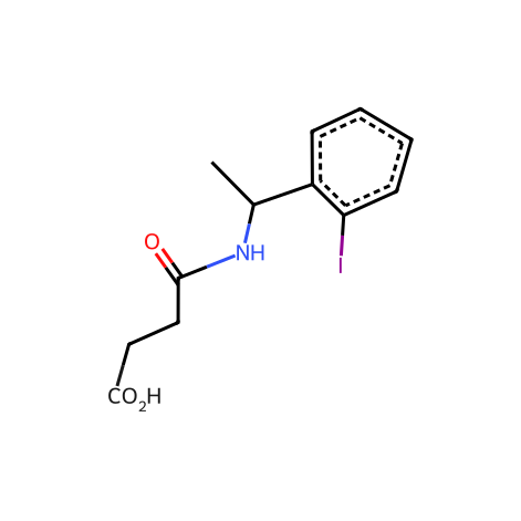 CC(NC(=O)CCC(=O)O)c1ccccc1I